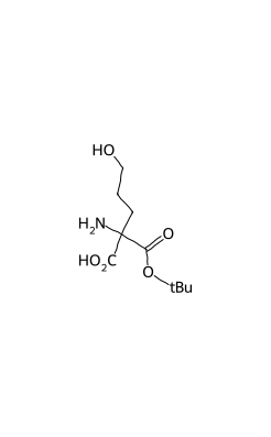 CC(C)(C)OC(=O)C(N)(CCCO)C(=O)O